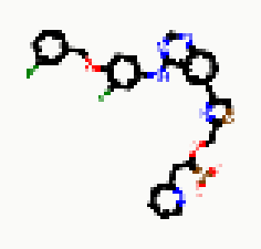 O=S(=O)=C(Cc1ccccn1)OCc1nc(-c2ccc3ncnc(Nc4ccc(OCc5cccc(F)c5)c(Br)c4)c3c2)cs1